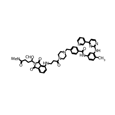 CNC(=O)CCC(C=O)N1C(=O)c2cccc(NCCC(=O)N3CCN(Cc4ccc(C(=O)Nc5ccc(C)c(Nc6nccc(-c7cccnc7)n6)c5)cc4)CC3)c2C1=O